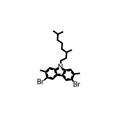 Cc1cc2c(cc1Br)c1cc(Br)c(C)cc1n2CCC(C)CCCC(C)C